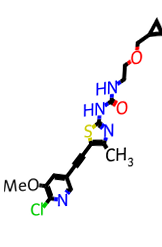 COc1cc(C#Cc2sc(NC(=O)NCCOCC3CC3)nc2C)cnc1Cl